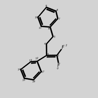 FC(F)=C(CCc1ccccc1)c1ccccc1